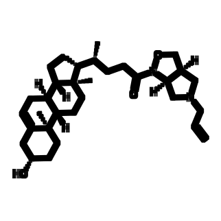 C=CCN1C[C@@H]2CON(C(=O)CC[C@@H](C)[C@H]3CC[C@H]4[C@@H]5CC=C6C[C@@H](O)CC[C@]6(C)[C@H]5CC[C@]34C)[C@@H]2C1